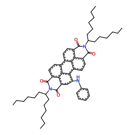 CCCCCCC(CCCCCC)N1C(=O)c2ccc3c4ccc5c6c(cc(Nc7ccccc7)c(c7ccc(c2c37)C1=O)c64)C(=O)N(C(CCCCCC)CCCCCC)C5=O